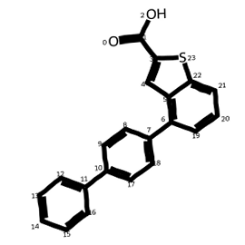 O=C(O)c1cc2c(-c3ccc(-c4ccccc4)cc3)cccc2s1